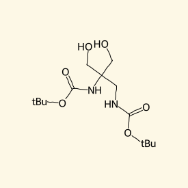 CC(C)(C)OC(=O)NCC(CO)(CO)NC(=O)OC(C)(C)C